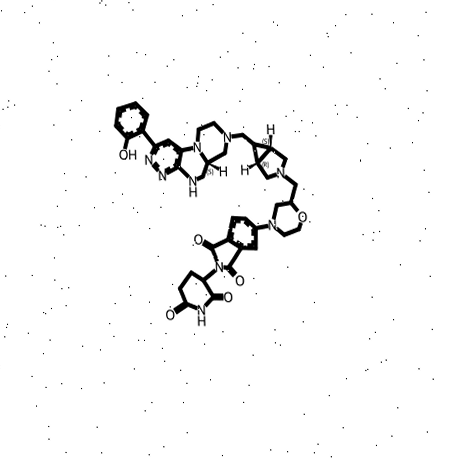 O=C1CCC(N2C(=O)c3ccc(N4CCOC(CN5C[C@@H]6C(CN7CCN8c9cc(-c%10ccccc%10O)nnc9NC[C@H]8C7)[C@@H]6C5)C4)cc3C2=O)C(=O)N1